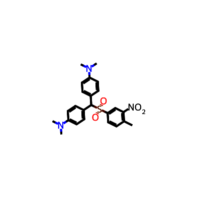 Cc1ccc(S(=O)(=O)C(c2ccc(N(C)C)cc2)c2ccc(N(C)C)cc2)cc1[N+](=O)[O-]